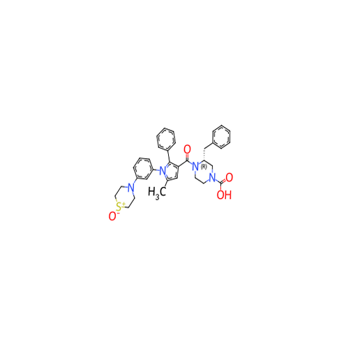 Cc1cc(C(=O)N2CCN(C(=O)O)C[C@H]2Cc2ccccc2)c(-c2ccccc2)n1-c1cccc(N2CC[S+]([O-])CC2)c1